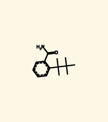 CC(C)(C)C(C)(C)c1ccccc1C(N)=O